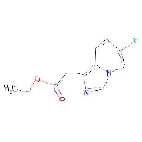 CCOC(=O)Cc1ncn2cc(F)ccc12